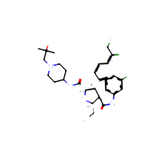 C=C(/C=C\C=C(\Cl)CF)[C@H]1[C@H](C(=O)NC2CCN(CC(C)(C)O)CC2)N[C@H](CC(C)(C)C)[C@]12C(=O)Nc1cc(Cl)ccc12